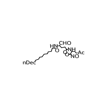 CCCCCCCCCCCCCCCCCCCC(=O)NC(C=O)CCC(=O)NC(CCC(C)=O)C(=O)N=O